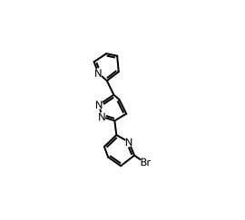 Brc1cccc(-c2ccc(-c3ccccn3)nn2)n1